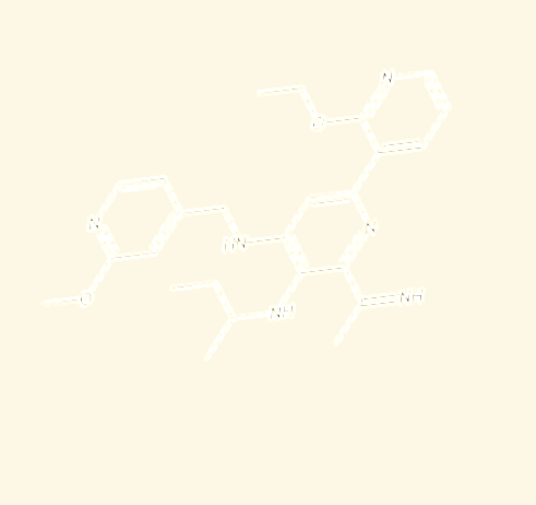 CCOc1ncccc1-c1cc(NCc2ccnc(OC)c2)c(NC(C)CC)c(C(C)=N)n1